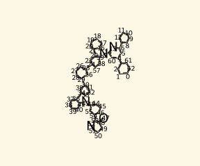 c1ccc(-c2cc(-c3ccccc3)nc(-n3c4ccccc4c4cc(-c5cccc(-c6ccc7c(c6)c6ccccc6n7-c6ccc7oc8cccnc8c7c6)c5)ccc43)c2)cc1